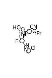 CC(C)Oc1ccc(C(=O)NC(CCO)Cc2c(F)cc(-c3cn4cccc(Cl)c4n3)cc2F)cc1C#N